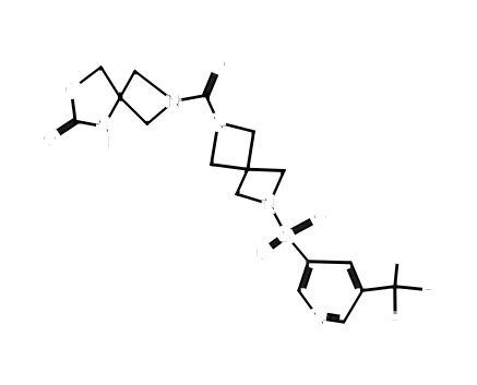 O=C1NC2(CO1)CN(C(=O)N1CC3(C1)CN(S(=O)(=O)c1cncc(C(F)(F)F)c1)C3)C2